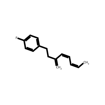 C=C(/C=C\C=C/C)CCc1ccc(F)cc1